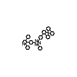 c1ccc(-c2nc(-c3ccc(-c4cccc5c4-c4ccccc4C54c5ccccc5-c5ccccc54)cc3)nc(-c3ccc(-c4c(-c5ccccc5)ccnc4-c4ccccc4)cc3)n2)cc1